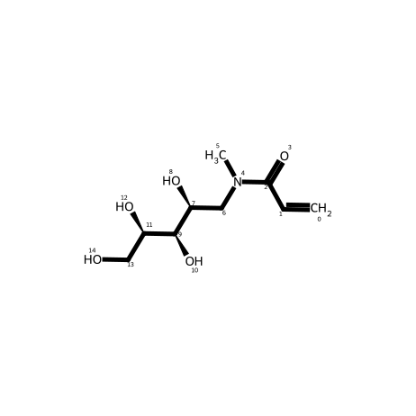 C=CC(=O)N(C)C[C@H](O)[C@@H](O)[C@H](O)CO